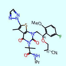 COc1ccc(F)cc1[C@H](Cn1c(=O)n(C(C)(C)C(=O)NC(C)C)c(=O)c2c(C)c(-n3nccn3)sc21)OC[C@@H](C)C#N